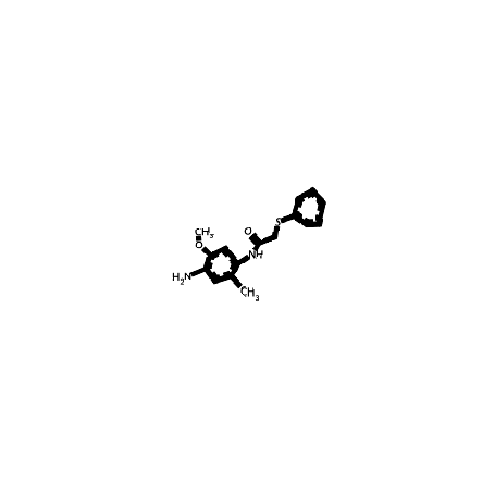 COc1cc(NC(=O)CSc2ccccc2)c(C)cc1N